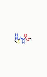 CCOC(=O)NN=C1NCCS1